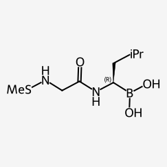 CSNCC(=O)N[C@@H](CC(C)C)B(O)O